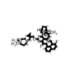 C#Cc1c(F)ccc2cccc(-c3nc4c5c(nc(OCC6(CN7CCC[Si](C)(C)CC7)CC6)nc5c3F)N3C[C@H]5CC[C@H](N5)[C@@H]3[C@@H](C)C4)c12